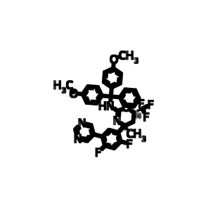 COc1ccc(C(NC2=N[C@](C)(c3cc(-c4cncnc4)c(F)cc3F)C[C@@H](C(F)(F)F)O2)(c2ccccc2)c2ccc(OC)cc2)cc1